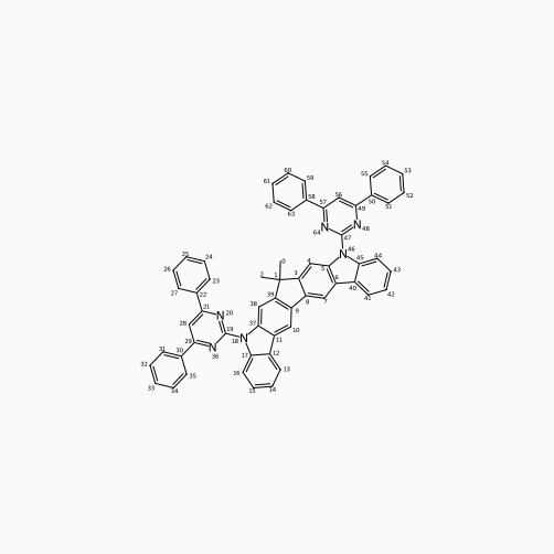 CC1(C)c2cc3c(cc2-c2cc4c5ccccc5n(-c5nc(-c6ccccc6)cc(-c6ccccc6)n5)c4cc21)c1ccccc1n3-c1nc(-c2ccccc2)cc(-c2ccccc2)n1